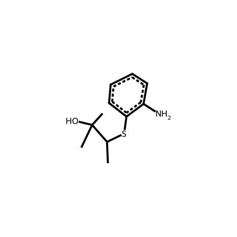 CC(Sc1ccccc1N)C(C)(C)O